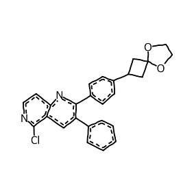 Clc1nccc2nc(-c3ccc(C4CC5(C4)OCCO5)cc3)c(-c3ccccc3)cc12